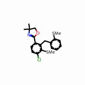 CSc1ccccc1Cc1c(C2=NC(C)(C)CO2)ccc(Cl)c1SC